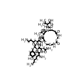 CC(C)C(NC(=O)[C@@H]1CCC(=O)NCCC(=O)NCCCC[C@H](NC(=O)[C@H](CCCCN)NC(=O)[C@H](Cc2ccc(O)cc2)NC(=O)[C@H](CC(N)=O)NC(=O)[C@@H](N)CCCCN)C(=O)N[C@@H](C(C)O)C(=O)N1)C(=O)O